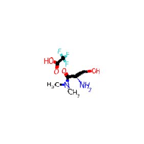 CN(C)C(=O)[C@@H](N)CO.O=C(O)C(F)(F)F